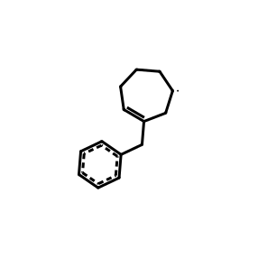 [CH]1CCCC=C(Cc2ccccc2)C1